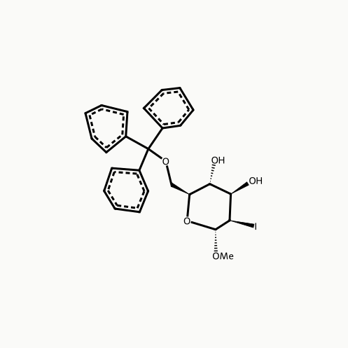 CO[C@@H]1O[C@@H](COC(c2ccccc2)(c2ccccc2)c2ccccc2)[C@H](O)[C@@H](O)[C@H]1I